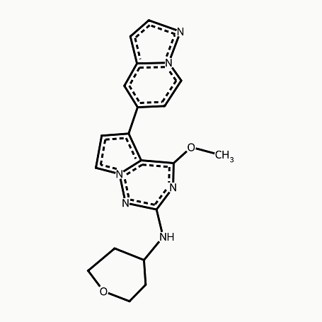 COc1nc(NC2CCOCC2)nn2ccc(-c3ccn4nccc4c3)c12